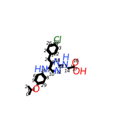 CC(C)Oc1ccc(Nc2cnc(NCC(=O)O)nc2Cc2ccc(Cl)cc2)cc1